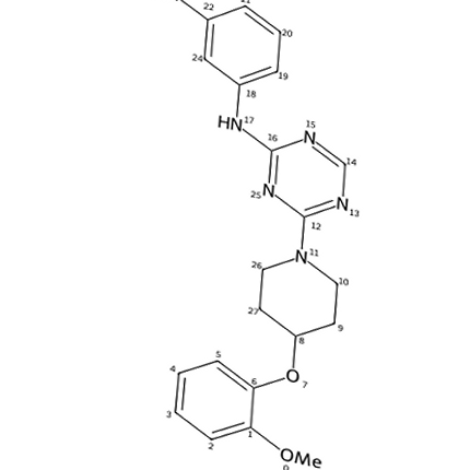 COc1ccccc1OC1CCN(c2ncnc(Nc3cccc(NC(C)=O)c3)n2)CC1